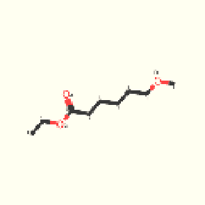 CCOC(=O)CCCCCOC